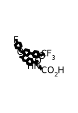 CC(Cc1ccc(C(=O)NCCC(=O)O)cc1)c1cc(-c2ccc(OC(F)(F)F)cc2)ccc1Oc1ccc(F)cc1